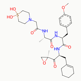 COc1ccc(C[C@H](NC(=O)[C@H](C)NC(=O)CN2CCS(O)(O)CC2)C(=O)N[C@@H](CC2=CCCCC2)C(=O)[C@]2(C)CO2)cc1